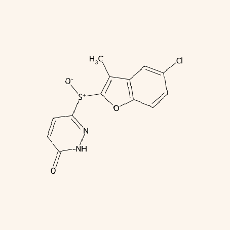 Cc1c([S+]([O-])c2ccc(=O)[nH]n2)oc2ccc(Cl)cc12